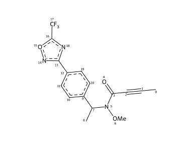 CC#CC(=O)N(OC)C(C)c1ccc(-c2noc(C(F)(F)F)n2)cc1